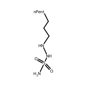 CCCCCCCCNNS(N)(=O)=O